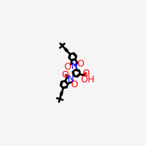 CC(C)(C)C#Cc1ccc2c(c1)C(=O)N(c1cc(C(=O)O)cc(N3C(=O)c4ccc(C#CC(C)(C)C)cc4C3=O)c1)C2=O